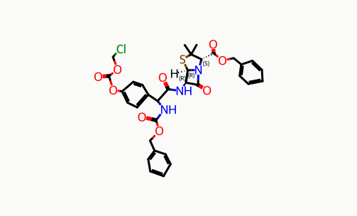 CC1(C)S[C@@H]2[C@H](NC(=O)C(NC(=O)OCc3ccccc3)c3ccc(OC(=O)OCCl)cc3)C(=O)N2[C@H]1C(=O)OCc1ccccc1